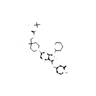 Cn1ccc(Sc2nn(C3CCCCO3)c3nc(N4CCC(C)(CNC(=O)OC(C)(C)C)CC4)cnc23)cc1=O